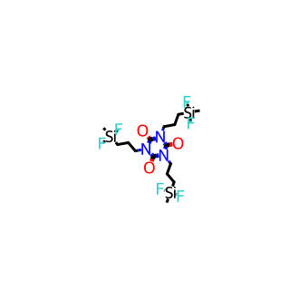 C[Si](F)(F)CCCn1c(=O)n(CCC[Si](C)(F)F)c(=O)n(CCC[Si](C)(F)F)c1=O